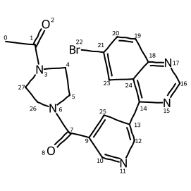 CC(=O)N1CCN(C(=O)c2cncc(-c3ncnc4ccc(Br)cc34)c2)CC1